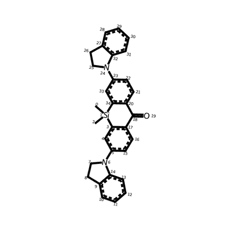 C[Si]1(C)c2cc(N3CCc4ccccc43)ccc2C(=O)c2ccc(N3CCc4ccccc43)cc21